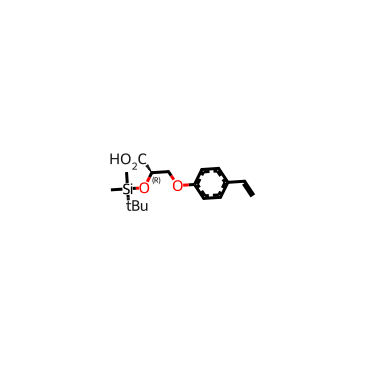 C=Cc1ccc(OC[C@@H](O[Si](C)(C)C(C)(C)C)C(=O)O)cc1